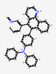 C=N/C=C(\C=C/C)c1c(-c2ccc(N(c3ccccc3)c3ccccc3)cc2)c2ccccc2c2ncccc12